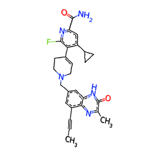 CC#Cc1cc(CN2CC=C(c3c(C4CC4)cc(C(N)=O)nc3F)CC2)cc2[nH]c(=O)c(C)nc12